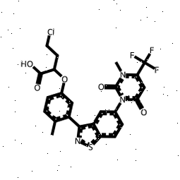 Cc1ccc(OC(CCCl)C(=O)O)cc1-c1nsc2ccc(-n3c(=O)cc(C(F)(F)F)n(C)c3=O)cc12